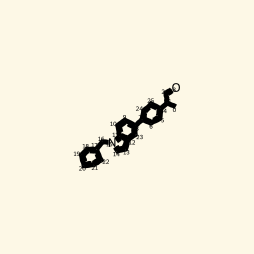 CC(C=O)c1ccc(-c2ccc3c(ccn3Cc3ccccc3)c2)cc1